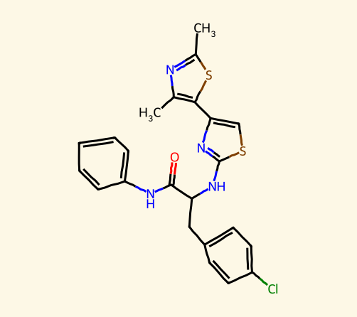 Cc1nc(C)c(-c2csc(NC(Cc3ccc(Cl)cc3)C(=O)Nc3ccccc3)n2)s1